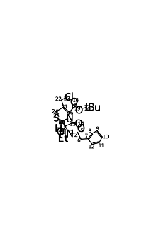 CCOC1(NC(=O)Cc2ccccc2)C(=O)N2C(C(=O)OC(C)(C)C)=C(CCl)CS[C@H]21